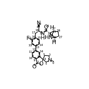 CN1CCC2(C1)OC(=O)c1ccc(-c3ccc(C[C@@H](C#N)NC(=O)[C@H]4N[C@@H]5CC[C@H]4C5)c(F)c3)cc12